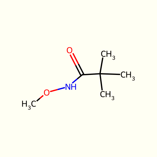 CONC(=O)C(C)(C)C